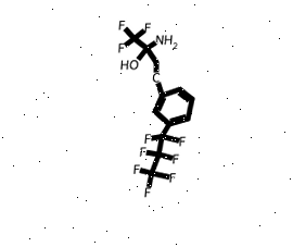 NC(O)(CCc1cccc(C(F)(F)C(F)(F)C(F)(F)F)c1)C(F)(F)F